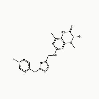 CC[C@H]1C(=O)Nc2c(C)nc(NCc3cnn(Cc4ccc(F)cn4)c3)nc2N1C